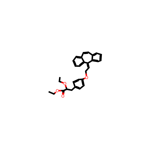 CCOC(=O)C(Cc1ccc(OCC=C2c3ccccc3C=Cc3ccccc32)cc1)OCC